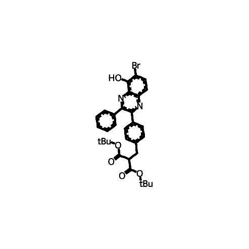 CC(C)(C)OC(=O)C(Cc1ccc(-c2nc3ccc(Br)c(O)c3nc2-c2ccccc2)cc1)C(=O)OC(C)(C)C